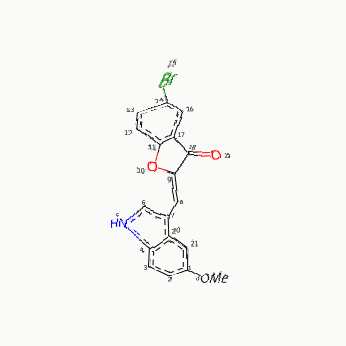 COc1ccc2[nH]cc(/C=C3\Oc4ccc(Br)cc4C3=O)c2c1